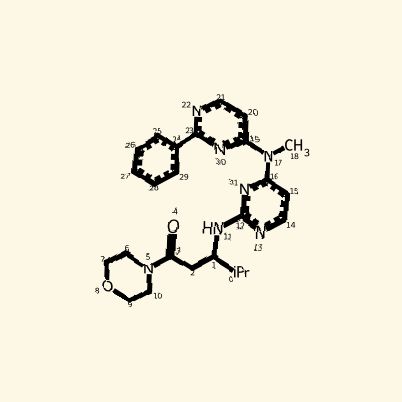 CC(C)C(CC(=O)N1CCOCC1)Nc1nccc(N(C)c2ccnc(-c3ccccc3)n2)n1